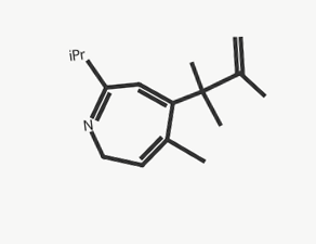 C=C(C)C(C)(C)C1=CC(C(C)C)=NCC=C1C